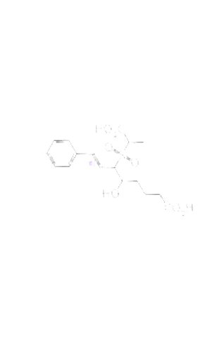 CC(C(=O)O)S(=O)(=O)C(/C=C/c1ccccc1)C(O)CCCC(=O)O